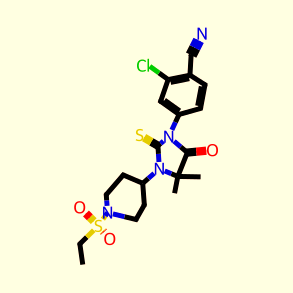 CCS(=O)(=O)N1CCC(N2C(=S)N(c3ccc(C#N)c(Cl)c3)C(=O)C2(C)C)CC1